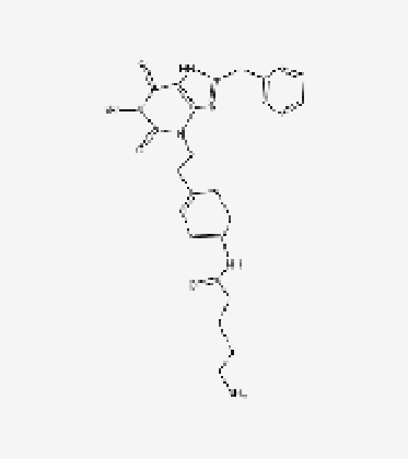 CCCn1c(=O)c2[nH]c(Cc3ccccc3)nc2n(CCC2=CC=C(NC(=O)CCCCN)CC2)c1=O